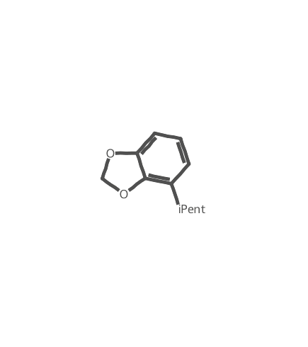 CCCC(C)c1cccc2c1OCO2